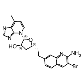 Cc1ccn([C@@H]2O[C@H](CCc3ccc4cc(Br)c(N)nc4c3)C[C@H]2O)c2ncnc1-2